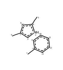 Cc1c[nH]c(C)n1.Cc1ccccc1